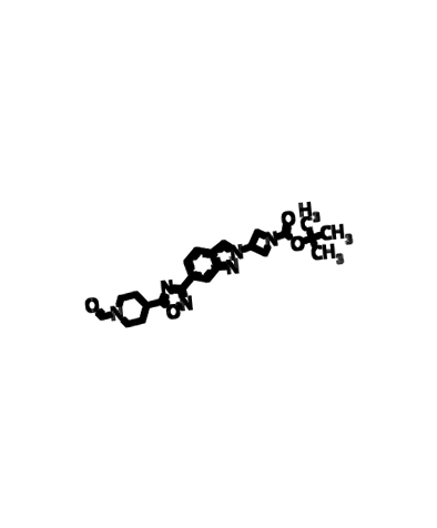 CC(C)(C)OC(=O)N1CC(n2cc3ccc(-c4noc(C5CCN(C=O)CC5)n4)cc3n2)C1